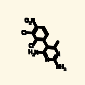 Cc1nc(N)nc(N)c1-c1ccc([N+](=O)[O-])c(Cl)c1Cl